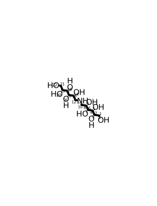 OCC(O)C(O)C(O)C(O)CNCC(O)C(O)C(O)C(O)CO